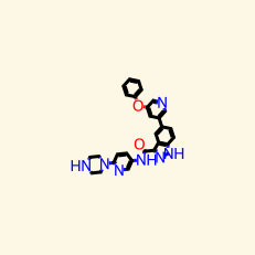 O=C(Nc1ccc(N2CCNCC2)nc1)c1n[nH]c2ccc(-c3cncc(Oc4ccccc4)c3)cc12